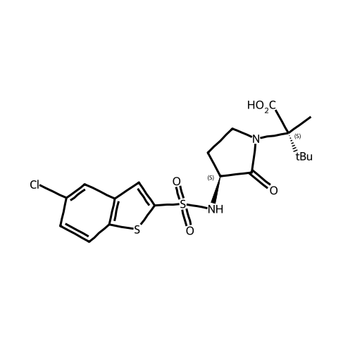 CC(C)(C)[C@@](C)(C(=O)O)N1CC[C@H](NS(=O)(=O)c2cc3cc(Cl)ccc3s2)C1=O